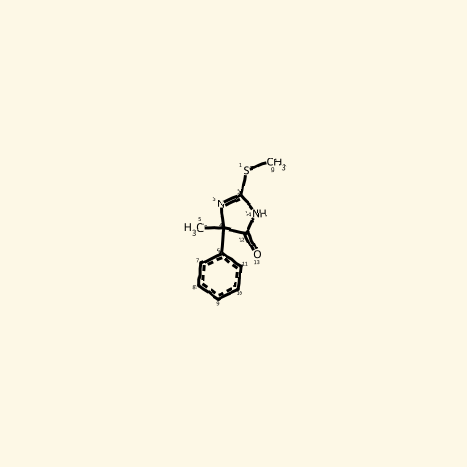 CSC1=NC(C)(c2ccccc2)C(=O)N1